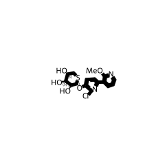 COc1ncccc1-c1ccc(O[C@H]2SC[C@@H](O)[C@H](O)[C@H]2O)c(Cl)n1